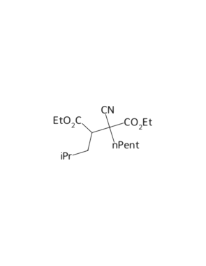 CCCCCC(C#N)(C(=O)OCC)C(CC(C)C)C(=O)OCC